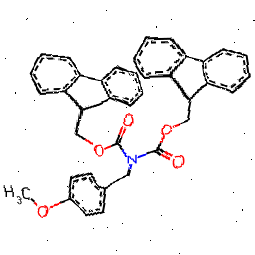 COc1ccc(CN(C(=O)OCC2c3ccccc3-c3ccccc32)C(=O)OCC2c3ccccc3-c3ccccc32)cc1